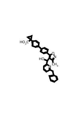 Cc1noc(-c2ccc(-c3ccc(C4(C(=O)O)CC4)cc3)cc2)c1C(O)c1cccc(Cc2ccccc2)n1